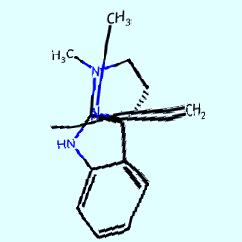 C=C1CN(C)C[C@]23Nc4ccccc4[C@]12CCN3C